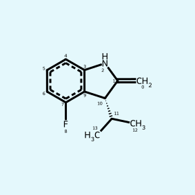 C=C1Nc2cccc(F)c2[C@H]1C(C)C